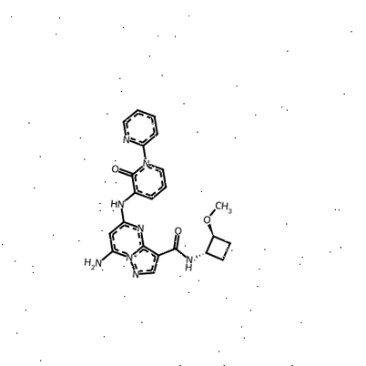 CO[C@H]1CC[C@@H]1NC(=O)c1cnn2c(N)cc(Nc3cccn(-c4ccccn4)c3=O)nc12